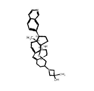 CC1(O)CN(C2CCC3=CC4=CC[C@]5(C)[C@@H](c6ccc7ccncc7c6)CC[C@H]5[C@@]45CC[C@]3(C2)O5)C1